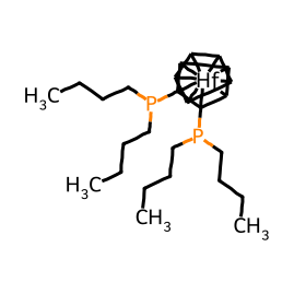 CCCCP(CCCC)[C]12[CH]3[CH]4[CH]5[C]1(P(CCCC)CCCC)[Hf]43521678[CH]2[CH]1[CH]6[CH]7[CH]28